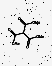 COC(=O)[C](C(=O)OC)C(=O)OC